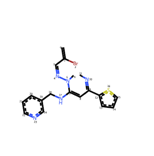 C=C(Br)/C=N\N(C)/C(=C\C(=N/C)c1cccs1)NCc1cccnc1